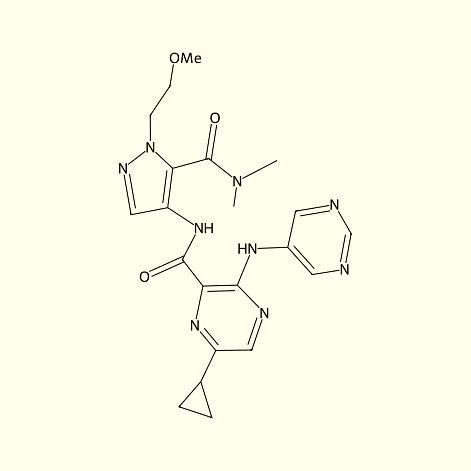 COCCn1ncc(NC(=O)c2nc(C3CC3)cnc2Nc2cncnc2)c1C(=O)N(C)C